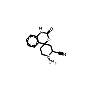 CN1CCC2(CC1C#N)OC(=O)Nc1ccccc12